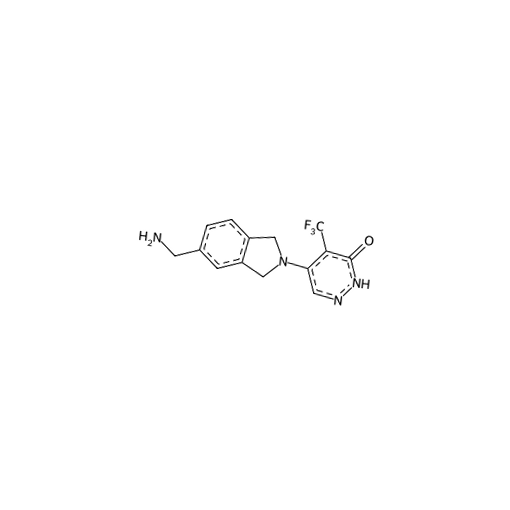 NCc1ccc2c(c1)CN(c1cn[nH]c(=O)c1C(F)(F)F)C2